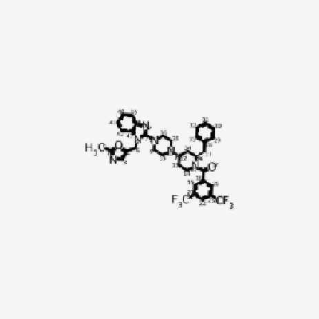 Cc1ncc(Cn2c(N3CCN([C@@H]4CCN(C(=O)c5cc(C(F)(F)F)cc(C(F)(F)F)c5)[C@H](Cc5ccccc5)C4)CC3)nc3ccccc32)o1